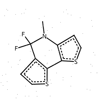 CN1c2ccsc2-c2sccc2C1(F)F